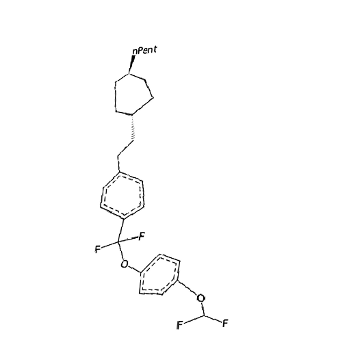 CCCCC[C@H]1CC[C@H](CCc2ccc(C(F)(F)Oc3ccc(OC(F)F)cc3)cc2)CC1